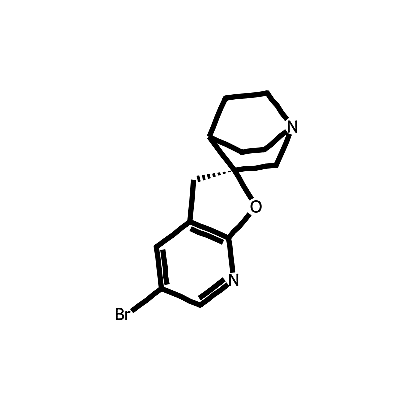 Brc1cnc2c(c1)C[C@]1(CN3CCC1CC3)O2